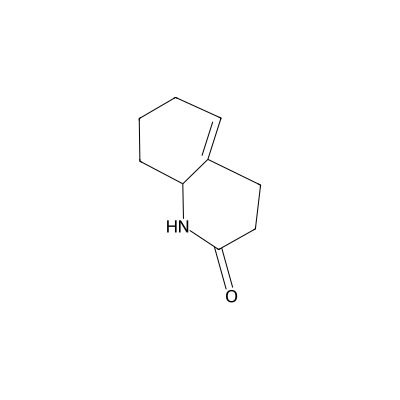 O=C1CCC2=CCCCC2N1